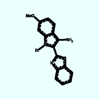 CCn1c(-c2nc3ccccc3s2)c(N)c2ccc(OC)cc21